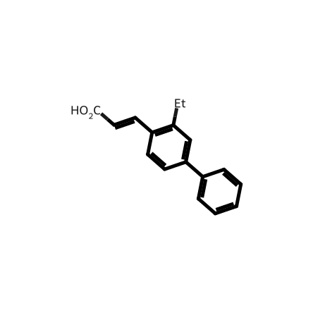 CCc1cc(-c2ccccc2)ccc1C=CC(=O)O